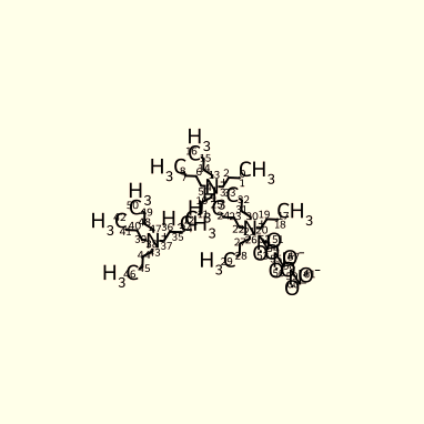 CCCC[N+](CCCC)(CCCC)CCCC.CCCC[N+](CCCC)(CCCC)CCCC.CCCC[N+](CCCC)(CCCC)CCCC.O=N[O-].O=[N+]([O-])[O-].O=[N+]([O-])[O-]